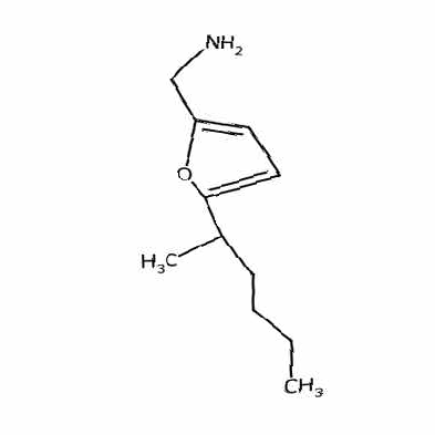 CCCCC(C)c1ccc(CN)o1